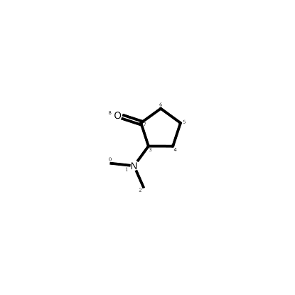 CN(C)C1CCCC1=O